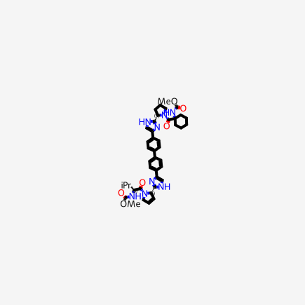 COC(=O)N[C@H](C(=O)N1CC=C[C@H]1c1nc(-c2ccc(-c3ccc(-c4c[nH]c([C@@H]5CCCN5C(=O)C5(NC(=O)OC)CCCCC5)n4)cc3)cc2)c[nH]1)C(C)C